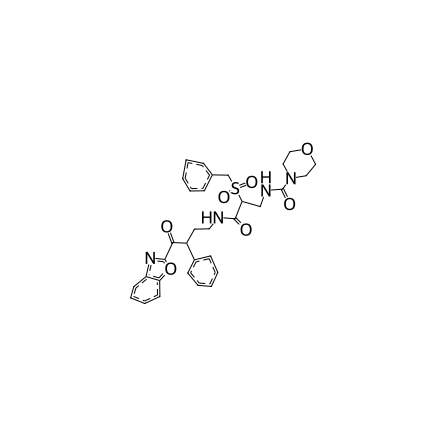 O=C(c1nc2ccccc2o1)C(CCNC(=O)C(CNC(=O)N1CCOCC1)S(=O)(=O)Cc1ccccc1)c1ccccc1